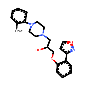 COc1ccccc1N1CCN(CC(O)COc2ccccc2-c2ccon2)CC1